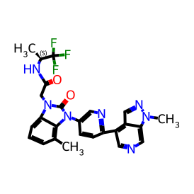 Cc1cccc2c1n(-c1ccc(-c3cncc4c3cnn4C)nc1)c(=O)n2CC(=O)N[C@@H](C)C(F)(F)F